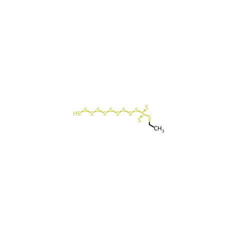 CCSS(=S)(=S)SSSSSSSSSS